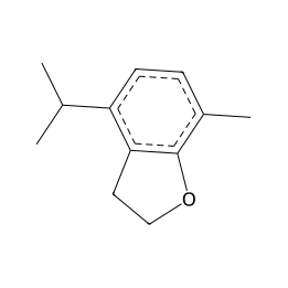 Cc1ccc(C(C)C)c2c1OCC2